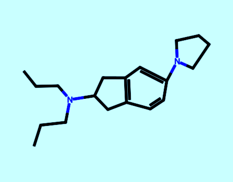 CCCN(CCC)C1Cc2ccc(N3CCCC3)cc2C1